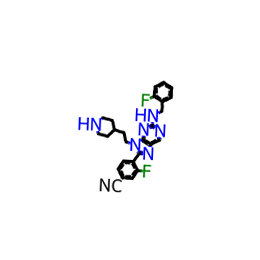 N#Cc1ccc(-c2nc3cnc(NCc4ccccc4F)nc3n2CCC2CCNCC2)c(F)c1